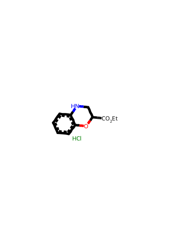 CCOC(=O)C1CNc2ccccc2O1.Cl